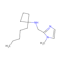 CCCCCC1(NCc2nccn2C)CCC1